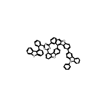 c1ccc(-c2nc(-c3ccccc3-c3cccc4sc5ccccc5c34)nc(-c3cccc4oc5ccc(-c6cccc7oc8ccc(-c9ccc%10c(c9)c9ccccc9n%10-c9ccccc9)cc8c67)cc5c34)n2)cc1